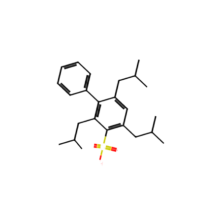 CC(C)Cc1cc(CC(C)C)c(S(=O)(=O)O)c(CC(C)C)c1-c1ccccc1